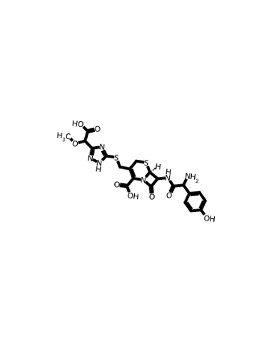 COC(C(=O)O)c1n[nH]c(SCC2=C(C(=O)O)N3C(=O)C(NC(=O)C(N)c4ccc(O)cc4)[C@@H]3SC2)n1